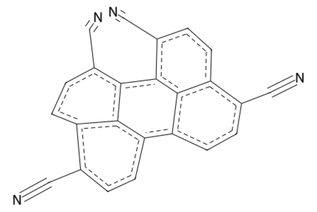 N#Cc1ccc2c3ccc(C#N)c4ccc(C#N)c(c5c(C#N)ccc1c25)c43